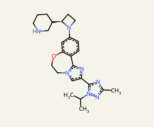 Cc1nc(-c2cn3c(n2)-c2ccc(N4CC[C@@H]4C4CCCNC4)cc2OCC3)n(C(C)C)n1